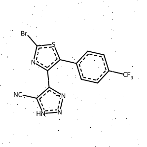 N#Cc1[nH]nnc1-c1nc(Br)sc1-c1ccc(C(F)(F)F)cc1